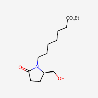 CCOC(=O)CCCCCCN1C(=O)CC[C@@H]1CO